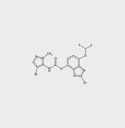 CCc1nc2c(OC(F)F)ccc(OC(=O)Nc3c(Br)cnn3C)c2o1